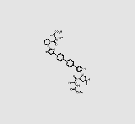 COC(=O)N[C@H](C(=O)N1CC(F)(F)C[C@H]1c1nc(-c2ccc(-c3ccc(-c4c[nH]c([C@@H]5CCCN5C(=O)[C@H](C(C)C)N(C)C(=O)O)n4)cc3)cc2)c[nH]1)C(C)C